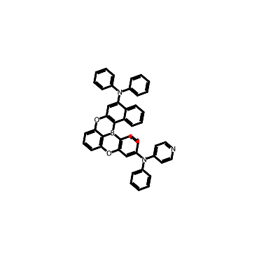 C1=CC2C(N(c3ccccc3)c3ccncc3)=CC3=C(B4c5c(cccc5Oc5cc(N(c6ccccc6)c6ccccc6)c6ccccc6c54)O3)C2C=C1